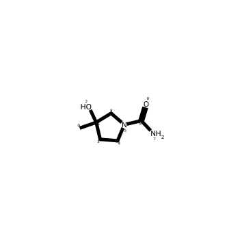 CC1(O)CCN(C(N)=O)C1